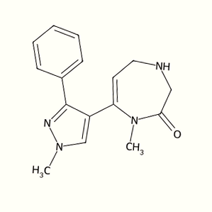 CN1C(=O)CNCC=C1c1cn(C)nc1-c1ccccc1